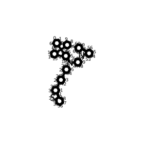 c1ccc(C2(c3ccccc3)c3ccccc3-c3cc(N(c4ccc(-c5ccc(-c6ccc7sc8ccccc8c7c6)cc5)cc4)c4cccc(-n5c6ccccc6c6ccccc65)c4)ccc32)cc1